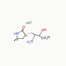 C[C@@H]1C[C@@H](CC(N)C(O)C(=O)O)C(=O)N1.Cl